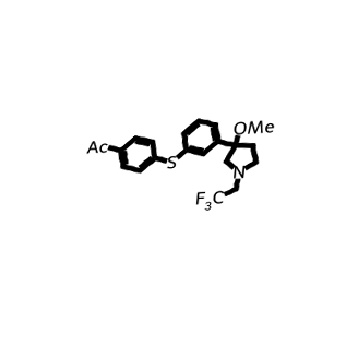 COC1(c2cccc(Sc3ccc(C(C)=O)cc3)c2)CCN(CC(F)(F)F)C1